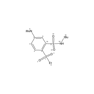 CCS(=O)(=O)c1ccc(NC)cc1S(=O)(=O)NC(C)(C)C